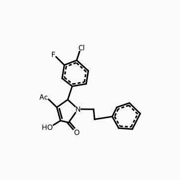 CC(=O)C1=C(O)C(=O)N(CCc2ccccc2)C1c1ccc(Cl)c(F)c1